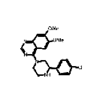 COc1cc2ncnc(N3CCNC(c4ccc(Cl)cc4)C3)c2cc1OC